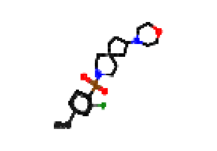 COc1ccc(S(=O)(=O)N2CCC3(CCC(N4CCOCC4)C3)CC2)c(F)c1